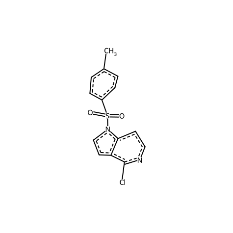 Cc1ccc(S(=O)(=O)n2ccc3c(Cl)nccc32)cc1